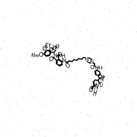 CCOc1cc(C(CS(C)(=O)=O)N2C(=O)c3cccc(NC(=O)CCCCCCCN4CCN(CC(=O)Nc5ccc6c(C7CCC(=O)NC7=O)nn(C)c6c5)CC4)c3C2=O)ccc1OC